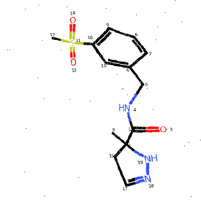 CC1(C(=O)NCc2cccc(S(C)(=O)=O)c2)CC=NN1